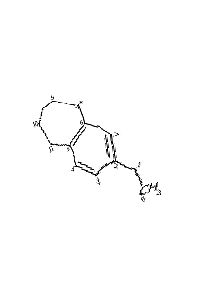 CCc1ccc2c(c1)[C]CCC2